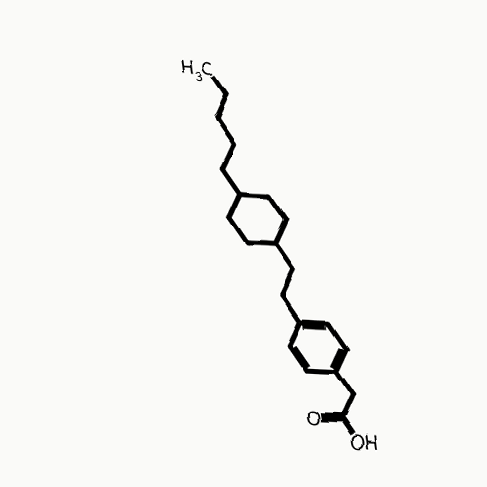 CCCCCC1CCC(CCc2ccc(CC(=O)O)cc2)CC1